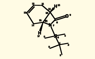 CC(C)(C)[Si](C)(C)N1C(=O)[C@H]2CC=CC[C@H]21